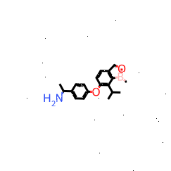 CB1OCc2ccc(Oc3ccc(C(C)N)cc3)c(C(C)C)c21